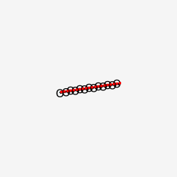 CCOCCOCCOCCOCCOCCOCCOCCOCCOCCOCCOCCOCCC=O